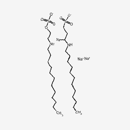 CCCCCCCCCCCCNCCOS(=O)(=O)[O-].CCCCCCCCCCCCN[CH]([Na])CCS(=O)(=O)[O-].[Na+].[Na+]